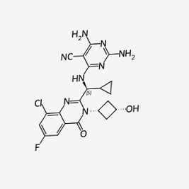 N#Cc1c(N)nc(N)nc1N[C@H](c1nc2c(Cl)cc(F)cc2c(=O)n1[C@H]1C[C@@H](O)C1)C1CC1